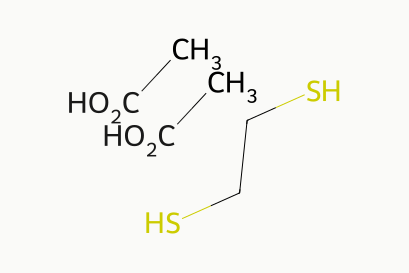 CC(=O)O.CC(=O)O.SCCS